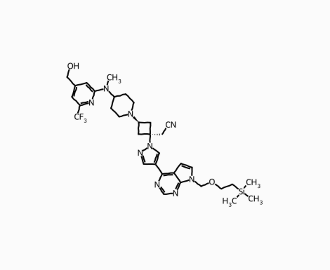 CN(c1cc(CO)cc(C(F)(F)F)n1)C1CCN([C@H]2C[C@@](CC#N)(n3cc(-c4ncnc5c4ccn5COCC[Si](C)(C)C)cn3)C2)CC1